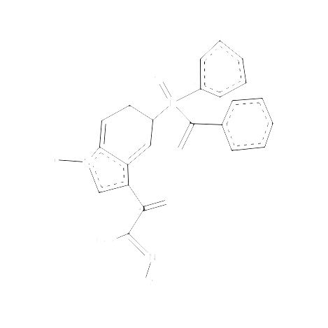 CCCCCC/C(=N\OC(C)=O)C(=O)c1cn(CC)c2c1=CC(P(=O)(C(=O)c1ccccc1)c1ccccc1)CC=2